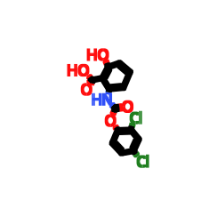 O=C(Nc1cccc(O)c1C(=O)O)Oc1ccc(Cl)cc1Cl